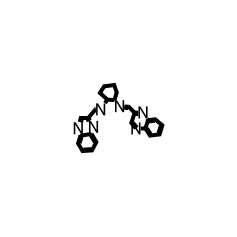 C(=NC1CCCCC1N=Cc1cnc2ccccc2n1)c1cnc2ccccc2n1